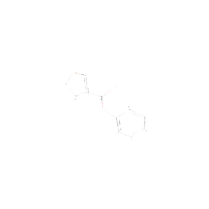 O=C(Oc1ccccc1)c1ccsc1